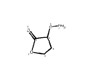 O=C1OCCC1OP